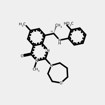 Cc1cc([C@H](C)Nc2ccccc2C(=O)O)c2nc(N3CCCOCC3)n(C)c(=O)c2c1